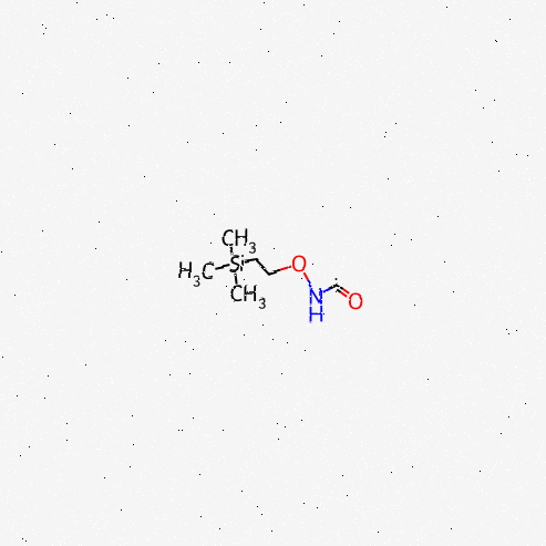 C[Si](C)(C)CCON[C]=O